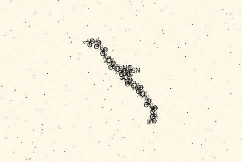 C=CC(=O)OCC(C)OC(=O)CCC(=O)OCCc1ccc(OC(=O)[C@H]2CC[C@H](C(=O)Oc3c(C)c(C)c(OC(=O)[C@H]4CC[C@H](C(=O)Oc5ccc(CCOC(=O)CCC(=O)OCC(C)OC(=O)C=C)cc5)CC4)c4c3SC(=C(C#N)C#N)S4)CC2)cc1